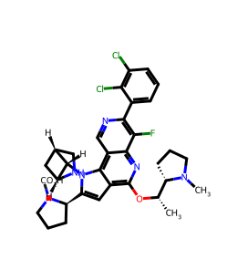 C[C@H](Oc1nc2c(F)c(-c3cccc(Cl)c3Cl)ncc2c2c1cc([C@H]1CCCN1C(=O)O)n2[C@H]1[C@H]2CN[C@@H]1C2)[C@@H]1CCCN1C